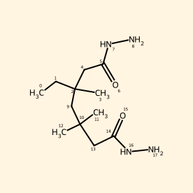 CCC(C)(CC(=O)NN)CC(C)(C)CC(=O)NN